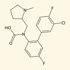 CN1CCCC1CN(C(=O)O)c1ccc(F)cc1-c1ccc(F)c(Cl)c1